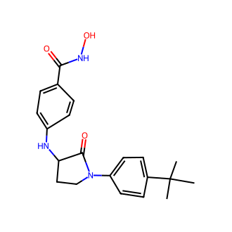 CC(C)(C)c1ccc(N2CCC(Nc3ccc(C(=O)NO)cc3)C2=O)cc1